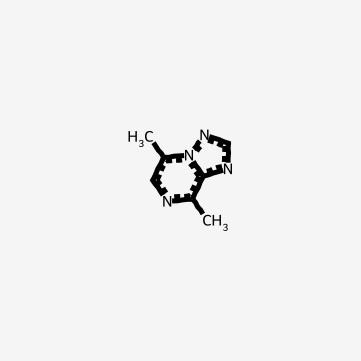 Cc1ncc(C)n2ncnc12